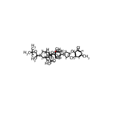 Cc1cc(Cl)c(O[C@@H]2CCN(c3ccc(C4=C[C@H]5CN(C(=O)OC(C)(C)C)C[C@@H](C4C(=O)O)N5C(=O)OC(C)(C)C)cn3)C2)c(Cl)c1